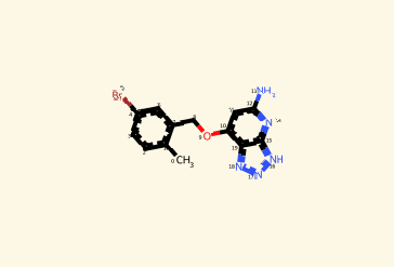 Cc1ccc(Br)cc1COc1cc(N)nc2[nH]nnc12